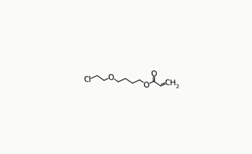 C=CC(=O)OCCCCOCCCl